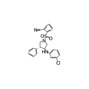 N#Cc1ccccc1S(=O)(=O)N1C[C@@H](Nc2cccc(Cl)c2)[C@H](c2ccccc2)C1